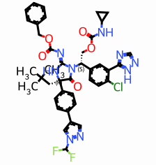 CC(C)(C)C[C@]1(c2ccc(-c3cnn(C(F)F)c3)cc2)NC(=NC(=O)OCc2ccccc2)N([C@H](COC(=O)NC2CC2)c2ccc(Cl)c(-c3ncn[nH]3)c2)C1=O